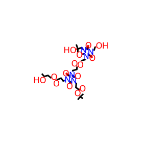 CC(O)CCOC(=O)CCn1c(=O)n(CCC(=O)OCCn2c(=O)n(CCO)c(=O)n(CC(C)(C)O)c2=O)c(=O)n(CCC(=O)OC(C)(C)C)c1=O